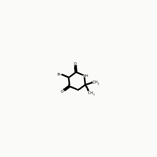 CC1(C)CC(=O)C(Br)C(=O)N1